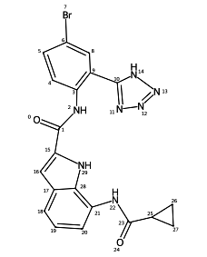 O=C(Nc1ccc(Br)cc1-c1nnn[nH]1)c1cc2cccc(NC(=O)C3CC3)c2[nH]1